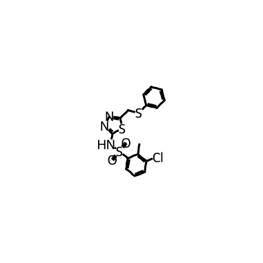 Cc1c(Cl)cccc1S(=O)(=O)Nc1nnc(CSc2ccccc2)s1